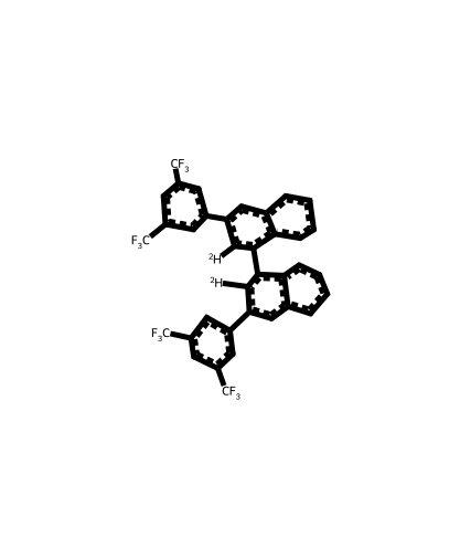 [2H]c1c(-c2cc(C(F)(F)F)cc(C(F)(F)F)c2)cc2ccccc2c1-c1c([2H])c(-c2cc(C(F)(F)F)cc(C(F)(F)F)c2)cc2ccccc12